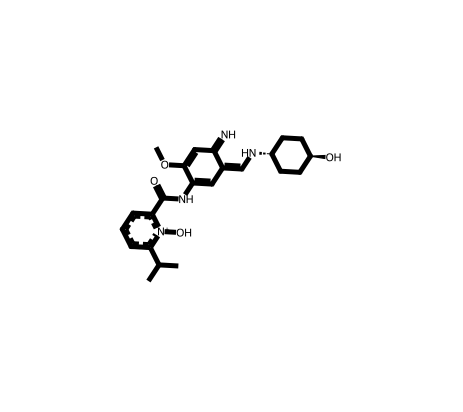 COC1=CC(=N)/C(=C\N[C@H]2CC[C@H](O)CC2)C=C1NC(=O)c1cccc(C(C)C)[n+]1O